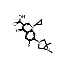 CN1C2CN(c3cc4c(cc3F)c(=O)c(C(=O)O)cn4C3CC3)CC21C